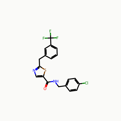 O=C(NCc1ccc(Cl)cc1)c1cnc(Cc2cccc(C(F)(F)F)c2)s1